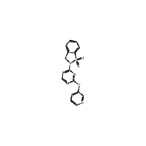 O=S1(=O)c2ccccc2CN1c1ncnc(Oc2cccnc2)n1